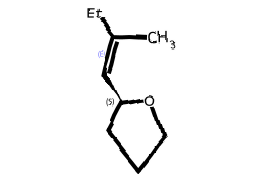 CC/C(C)=C/[C@@H]1CCCO1